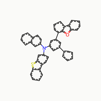 c1ccc(-c2cc(-c3cccc4c3oc3ccccc34)cc(N(c3ccc4ccccc4c3)c3ccc4c(c3)sc3ccccc34)c2)cc1